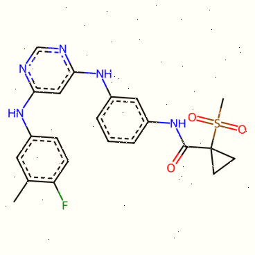 Cc1cc(Nc2cc(Nc3cccc(NC(=O)C4(S(C)(=O)=O)CC4)c3)ncn2)ccc1F